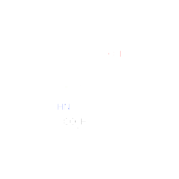 O=C(O)NCC1(F)CCC(O)CC1